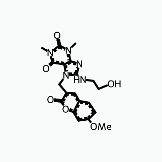 COc1ccc2cc(Cn3c(NCCO)nc4c3c(=O)n(C)c(=O)n4C)c(=O)oc2c1